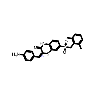 Cc1cccc(C)c1CS(=O)(=O)c1ccc2c(c1)S/C(=C/c1ccc(N)cc1)C(=O)N2